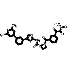 Cc1cc(-c2cccc(-c3csc(NC(=O)[C@@H]4CCN4C(=O)c4cccc(C(=O)C(=O)N(C)C)c4)n3)c2)cc(C)n1